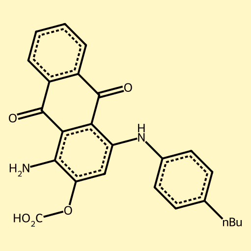 CCCCc1ccc(Nc2cc(OC(=O)O)c(N)c3c2C(=O)c2ccccc2C3=O)cc1